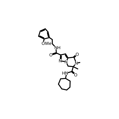 COc1ccccc1CCNC(=O)c1cc2n(n1)CC(C)(C(=O)NC1CCCCCC1)N(C)C2=O